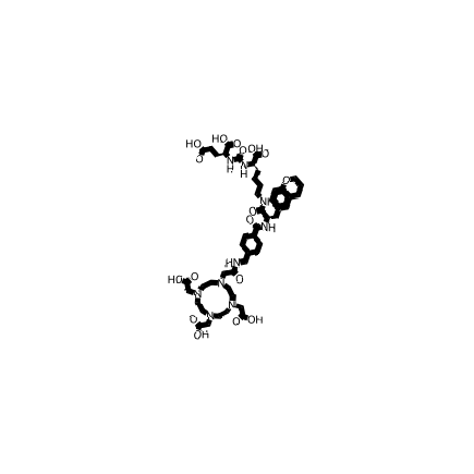 O=C(O)CC[C@H](NC(=O)N[C@@H](CCCCNC(=O)[C@@H](Cc1ccc2c(c1)CCCO2)NC(=O)C1CCC(CNC(=O)CN2CCN(CC(=O)O)CCN(CC(=O)O)CCN(CC(=O)O)CC2)CC1)C(=O)O)C(=O)O